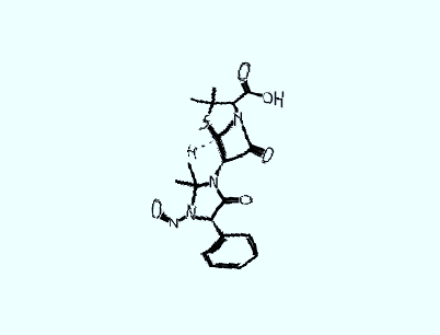 CC1(C)S[C@@H]2[C@H](N3C(=O)[C@@H](c4ccccc4)N(N=O)C3(C)C)C(=O)N2C1C(=O)O